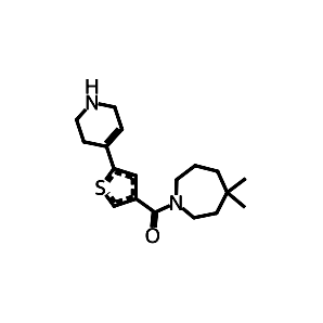 CC1(C)CCCN(C(=O)c2csc(C3=CCNCC3)c2)CC1